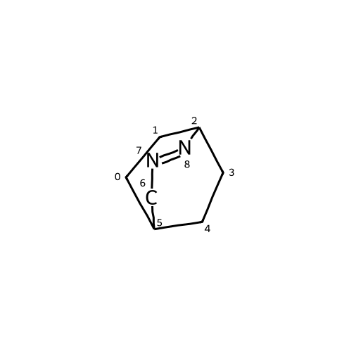 C1CC2CCC1CN=N2